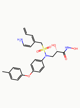 C=C/C=C(\C=C/N)CS(=O)(=O)N(C[C@H](O)C(=O)NO)c1ccc(Oc2ccc(C)cc2)cc1